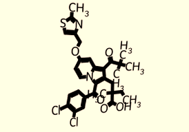 CCC(C)(Cc1c(C(=O)C(C)(C)C)c2cc(OCc3csc(C)n3)ccn2c1C(=O)c1ccc(Cl)c(Cl)c1)C(=O)O